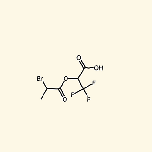 CC(Br)C(=O)OC(C(=O)O)C(F)(F)F